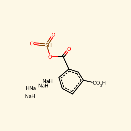 O=C(O)c1cccc(C(=O)O[SH](=O)=O)c1.[NaH].[NaH].[NaH].[NaH]